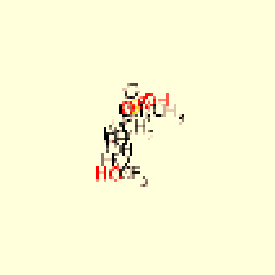 C[C@H](CC(C[C@@H](C)O)S(=O)(=O)c1ccccc1)[C@H]1CC[C@H]2[C@@H]3CC[C@H]4C[C@](O)(C(F)(F)F)CC[C@@H]4[C@H]3CC[C@]12C